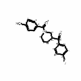 N#Cc1ccc(C(=O)N2CCCC(C(=O)c3ccc(F)cc3)C2)cc1